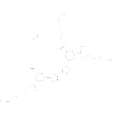 C=CCCCCOC(=O)c1cc(C(=O)OCCCCC=C)cc(-c2ccc(-c3ccc(-c4cc(C(=O)OCCCCC=C)cc(C(=O)OCCCCC=C)c4)s3)s2)c1